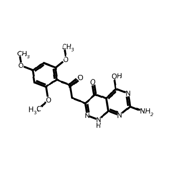 COc1cc(OC)c(C(=O)Cc2n[nH]c3nc(N)nc(O)c3c2=O)c(OC)c1